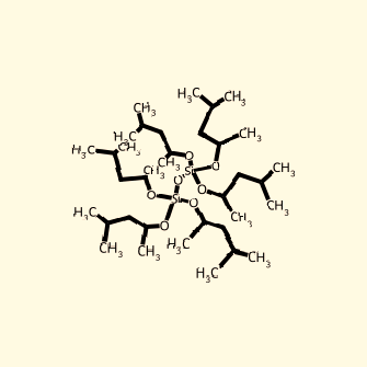 CC(C)CC(C)O[Si](OC(C)CC(C)C)(OC(C)CC(C)C)O[Si](OC(C)CC(C)C)(OC(C)CC(C)C)OC(C)CC(C)C